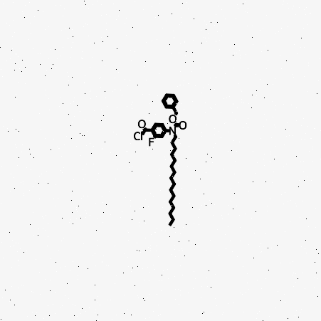 CCCCCCCCCCCCCCCCN(C(=O)OCc1ccccc1)c1ccc(C(=O)Cl)c(F)c1